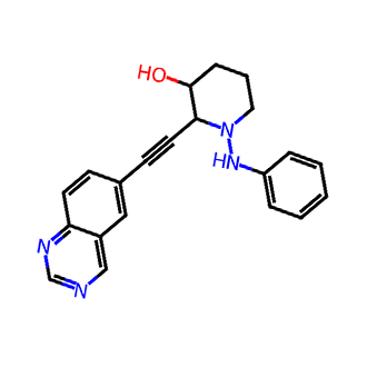 OC1CCCN(Nc2ccccc2)C1C#Cc1ccc2ncncc2c1